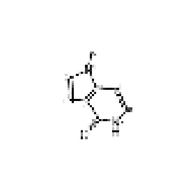 Cn1cnc2c(=O)[nH]ccc21